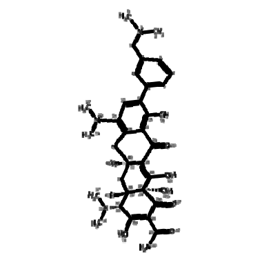 CN(C)Cc1cccc(-c2cc(N(C)C)c3c(c2O)C(=O)C2=C(O)[C@@]4(O)C(=O)C(C(N)=O)=C(O)[C@H](N(C)C)[C@@H]4C[C@H]2C3)c1